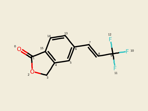 O=C1OCc2cc(C=CC(F)(F)F)ccc21